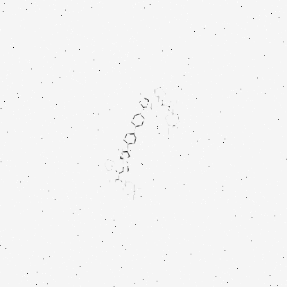 O=C(C(=O)N1CCC[C@H]1c1nc(-c2ccc(-c3ccc(-c4c[nH]c([C@@H]5CCCN5C(=O)C(=O)N5CCC(F)(F)CC5)n4)cc3)cc2)c[nH]1)N1CCC(F)(F)CC1